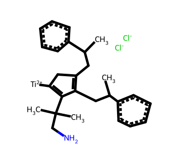 CC(CC1=C(CC(C)c2ccccc2)C(C(C)(C)CN)=[C]([Ti+2])C1)c1ccccc1.[Cl-].[Cl-]